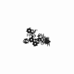 COc1c(CN2O[C@@H](CO)[C@@H]([C@H](C)O)[C@H]2C(=O)N[C@H]2C[C@H]3C[C@@H]([C@@H]2C)C3(C)C)cccc1-c1cc(C(=O)NC(CN(C)C)c2ccccc2)cc(N2CCOCC2)c1